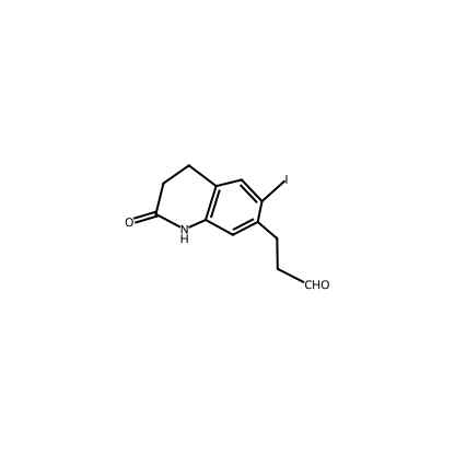 O=CCCc1cc2c(cc1I)CCC(=O)N2